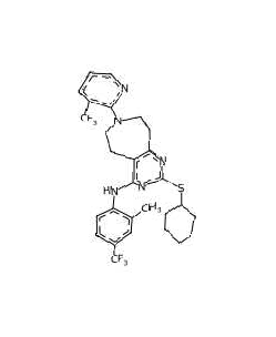 Cc1cc(C(F)(F)F)ccc1Nc1nc(SC2CCCCC2)nc2c1CCN(c1ncccc1C(F)(F)F)CC2